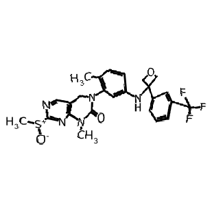 Cc1ccc(NC2(c3cccc(C(F)(F)F)c3)COC2)cc1N1Cc2cnc([S+](C)[O-])nc2N(C)C1=O